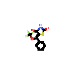 O=C1NC(=O)C(=C(OC(F)(F)F)c2ccccc2)S1